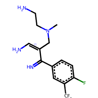 CN(CCN)C/C(=C/N)C(=N)c1ccc(F)c(C(F)(F)F)c1